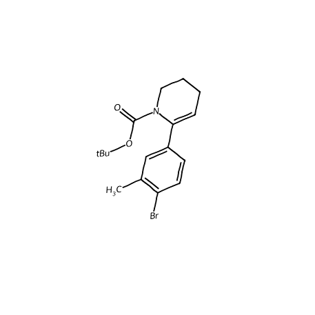 Cc1cc(C2=CCCCN2C(=O)OC(C)(C)C)ccc1Br